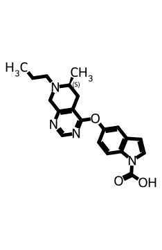 CCCN1Cc2ncnc(Oc3ccc4c(ccn4C(=O)O)c3)c2C[C@@H]1C